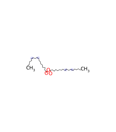 CCCCC/C=C\C/C=C\CCCCCCCC(=O)OC(=O)CCCCCCC/C=C/C/C=C/CCCCC